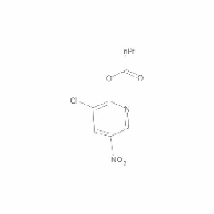 CCCC(=O)Oc1ncc([N+](=O)[O-])cc1Cl